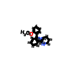 COc1ccccc1CN1CN2CCCC1C2c1ccccc1